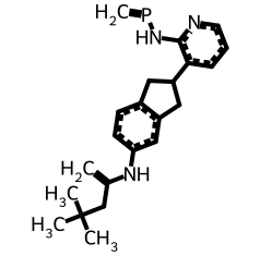 C=PNc1ncccc1C1Cc2ccc(NC(=C)CC(C)(C)C)cc2C1